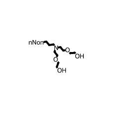 CCCCCCCCCCCCN(CCOCCO)CCOCCO